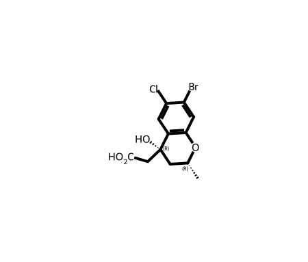 C[C@@H]1C[C@@](O)(CC(=O)O)c2cc(Cl)c(Br)cc2O1